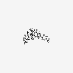 CC(C)(O)c1cc2nc([C@H]3CC[C@H](C=O)CC3)sc2cc1NC(=O)c1cccc(C(F)(F)F)n1